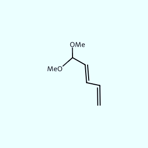 C=CC=CC(OC)OC